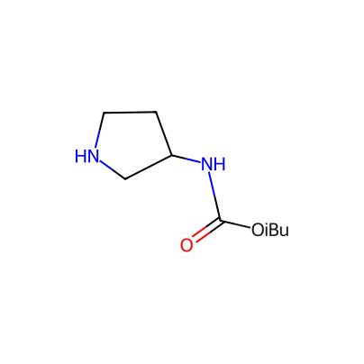 CC(C)COC(=O)NC1CCNC1